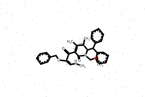 CCCN(C(=O)/C(C(=O)/C(=C\NC)OCc1ccccc1)=C(/C)CC)C(O)C(c1ccccc1)c1ccccc1